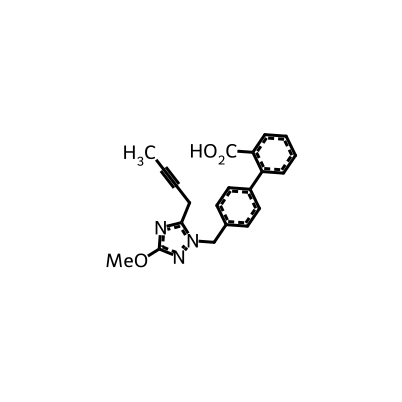 CC#CCc1nc(OC)nn1Cc1ccc(-c2ccccc2C(=O)O)cc1